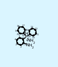 Nc1ccccc1[PH](N)(c1ccccc1)c1ccccc1